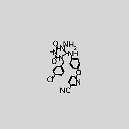 CN1C(=O)N(N)C(Nc2ccc(Oc3ccc(C#N)cn3)cc2)N(Cc2ccc(Cl)cc2)C1=O